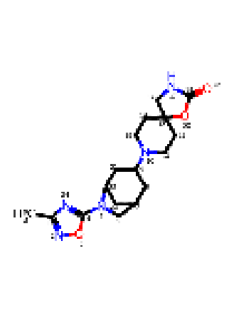 Cc1noc(N2CC3CC(N4CCC5(CC4)CNC(=O)O5)CC2C3)n1